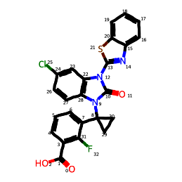 O=C(O)c1cccc(C2(n3c(=O)n(-c4nc5ccccc5s4)c4cc(Cl)ccc43)CC2)c1F